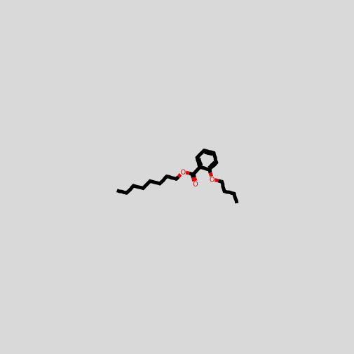 CCCCCCCCOC(=O)c1ccccc1OCCCC